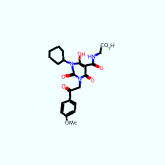 COc1ccc(C(=O)Cn2c(=O)c(C(=O)NCC(=O)O)c(O)n(C3CCCCC3)c2=O)cc1